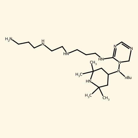 CCCCN(C1CC(C)(C)NC(C)(C)C1)N1CN=CN=C1NCCCNCCNCCCN